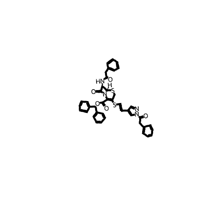 O=C(Cc1ccccc1)N[C@@H]1C(=O)N2C(C(=O)OC(c3ccccc3)c3ccccc3)=C(S/C=C/c3cnn(C(=O)Cc4ccccc4)c3)CS[C@H]12